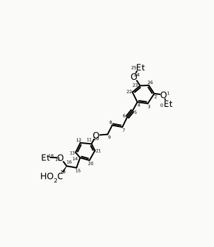 CCOc1cc(C#C/C=C/COc2ccc(C[C@H](OCC)C(=O)O)cc2)cc(OCC)c1